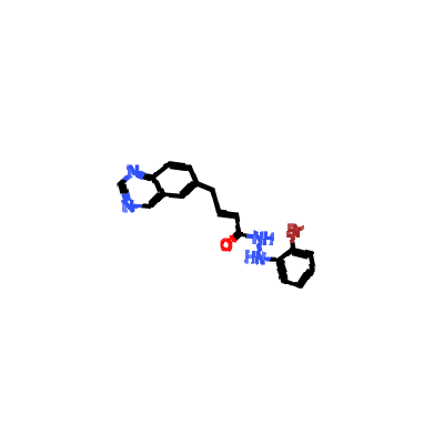 O=C(/C=C/Cc1ccc2ncncc2c1)NNc1ccccc1Br